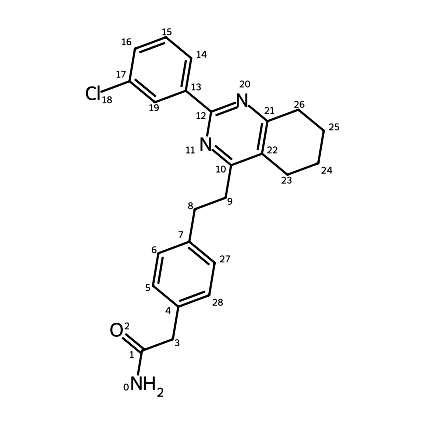 NC(=O)Cc1ccc(CCc2nc(-c3cccc(Cl)c3)nc3c2CCCC3)cc1